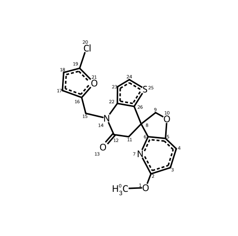 COc1ccc2c(n1)C1(CO2)CC(=O)N(Cc2ccc(Cl)o2)c2ccsc21